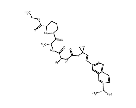 CC(C)[C@H](NC(=O)CC1(/C=C/c2cc3cc([C@@H](C)O)ccc3cn2)CC1)C(=O)N[C@@H](C)C(=O)N1CCC[C@@H](C(=O)OCC(Cl)(Cl)Cl)N1